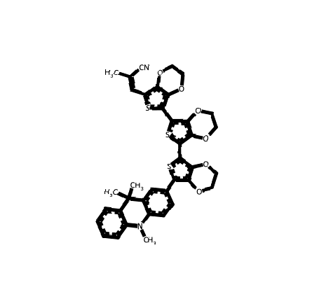 C/C(C#N)=C/c1sc(-c2sc(-c3sc(-c4ccc5c(c4)C(C)(C)c4ccccc4N5C)c4c3OCCO4)c3c2OCCO3)c2c1OCCO2